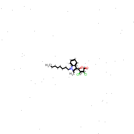 CCCCCCCCn1c(C)c(C2OC(=O)C(Cl)=C2Cl)c2ccccc21